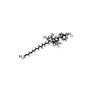 CCCCCCCCCCCCCCCC(=O)OC(C(C)=O)[C@H]1O[C@@H](n2cnc3c(N)ncnc32)C[C@@]1(O)C(C)=O